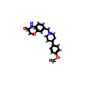 COc1ccc(C2CCN(Cc3ccc4c(c3)OCC(=O)N4)CC2)cc1